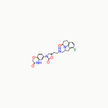 O=C1COc2ccc(N3C[C@@H](CCNCC4Cc5c(F)ccc6c5N4C(=O)CC6)OC3=O)cc2N1